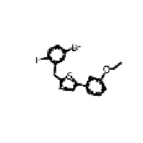 CCOc1cccc(-c2ccc(Cc3cc(Br)ccc3F)s2)c1